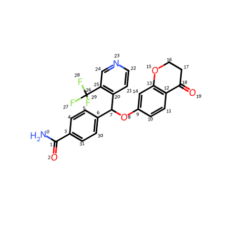 NC(=O)c1ccc(C(Oc2ccc3c(c2)OCCC3=O)c2ccncc2C(F)(F)F)cc1